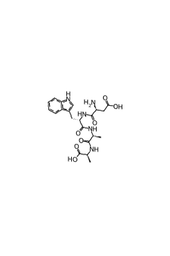 C[C@H](NC(=O)[C@H](C)NC(=O)[C@H](Cc1c[nH]c2ccccc12)NC(=O)[C@@H](N)CC(=O)O)C(=O)O